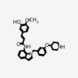 COc1ccc(/C=C/C(=O)Nc2cccc3ccn(Cc4cccc(OC5CCNCC5)c4)c23)cc1O